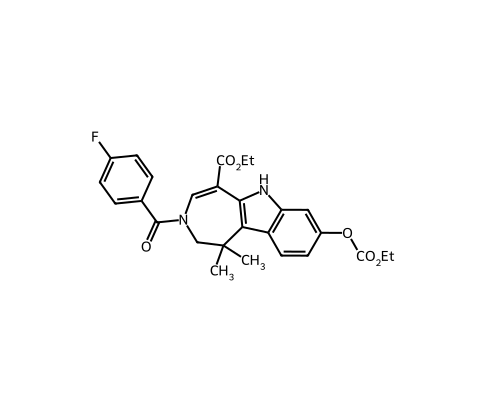 CCOC(=O)Oc1ccc2c3c([nH]c2c1)C(C(=O)OCC)=CN(C(=O)c1ccc(F)cc1)CC3(C)C